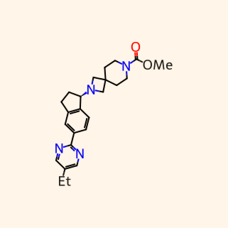 CCc1cnc(-c2ccc3c(c2)CC[C@H]3N2CC3(CCN(C(=O)OC)CC3)C2)nc1